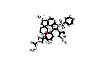 CN1CC2(CCN(C3(CC#N)CN(C(=O)OC(C)(C)C)C3)CC2)c2c1cnc1c2c(-c2ccccc2)c(-c2cnn(C)c2)n1S(=O)(=O)c1ccccc1